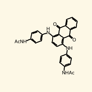 CC(=O)Nc1ccc(Nc2ccc(Nc3ccc(NC(C)=O)cc3)c3c2C(=O)c2ccccc2C3=O)cc1